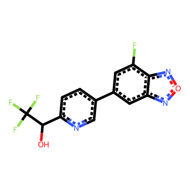 OC(c1ccc(-c2cc(F)c3nonc3c2)cn1)C(F)(F)F